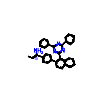 C/C=C(\N)c1ccc(-c2ccc3ccccc3c2-c2nc(-c3ccccc3)nc(-c3ccccc3)n2)cc1